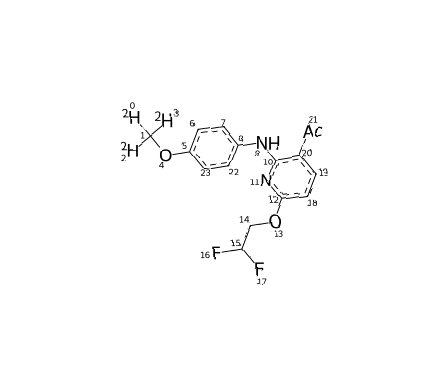 [2H]C([2H])([2H])Oc1ccc(Nc2nc(OCC(F)F)ccc2C(C)=O)cc1